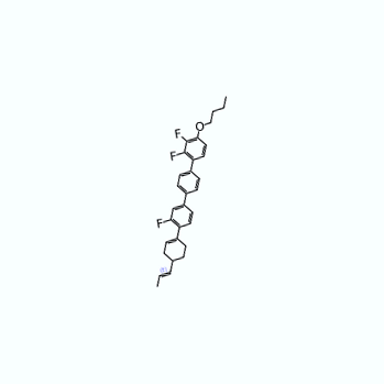 C/C=C/C1CC=C(c2ccc(-c3ccc(-c4ccc(OCCCC)c(F)c4F)cc3)cc2F)CC1